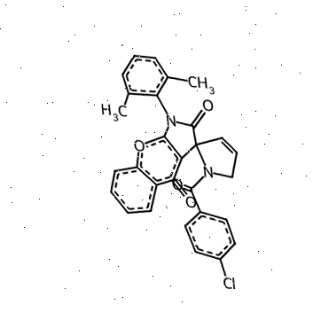 Cc1cccc(C)c1N1C(=O)C2(C=CCN2C(=O)c2ccc(Cl)cc2)c2c1oc1ccccc1c2=O